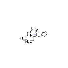 C=C/C(=C(/CC)Cn1cccc1)N1C(=C)CC1C